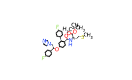 CSCC[C@H](NC(=O)c1ccc(OC(Cn2ccnc2)c2ccc(F)cc2)cc1-c1ccc(F)cc1)C(=O)OC(C)(C)C